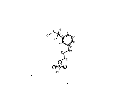 CCC(C)(C)c1cccc(CCCOS(C)(=O)=O)c1